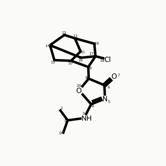 CC(C)NC1=NC(=O)C(C2C3CC4CC(C3)CC2(Cl)C4)O1